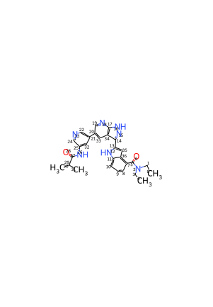 CCN(CC)C(=O)c1cccc2[nH]c(-c3n[nH]c4ncc(-c5cncc(NC(=O)C(C)C)c5)cc34)cc12